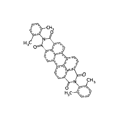 Cc1cccc(C)c1N1C(=O)c2ccc3c4ccc5c6c(ccc(c7ccc(c2c37)C1=O)c64)C(=O)N(c1c(C)cccc1C)C5=O